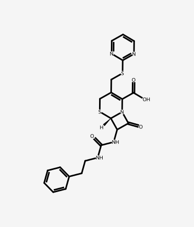 O=C(NCCc1ccccc1)NC1C(=O)N2C(C(=O)O)=C(CSc3ncccn3)CS[C@@H]12